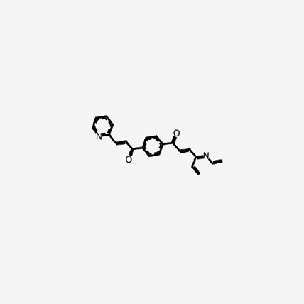 C=C/N=C(C=C)/C=C/C(=O)c1ccc(C(=O)/C=C/c2ccccn2)cc1